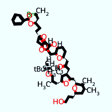 C=C(Br)C[C@@H](CC[C@@]12CC3OC4[C@@H](O1)C1O[C@@H](CC(=O)C[C@H]5C(C[C@H]6O[C@@H](CCCO)C[C@@H](C)C6=C)O[C@H](C[C@H](C)CO[Si](C)(C)C(C)(C)C)[C@@H]5C)CC[C@@H]1O[C@H]4[C@H]3O2)OC(=O)c1ccccc1